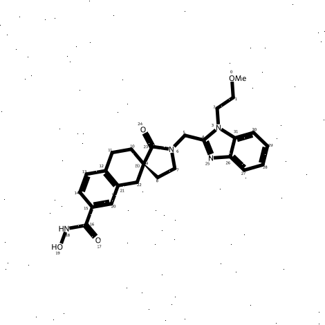 COCCn1c(CN2CC[C@@]3(CCc4ccc(C(=O)NO)cc4C3)C2=O)nc2ccccc21